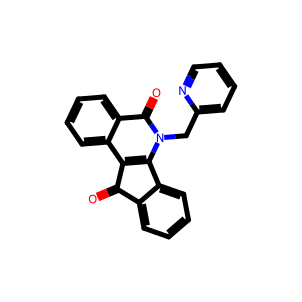 O=C1c2ccccc2-c2c1c1ccccc1c(=O)n2Cc1ccccn1